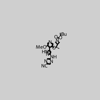 COc1cncc(O[C@H](C)C2CN(C(=O)OC(C)(C)C)C2)c1-c1cc(Nc2cnc(C#N)cn2)n[nH]1